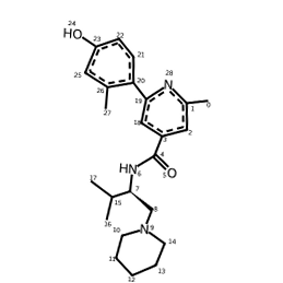 Cc1cc(C(=O)N[C@@H](CN2CCCCC2)C(C)C)cc(-c2ccc(O)cc2C)n1